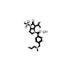 CCCN(C)Cc1ccc(C(=O)N2CCC3C2C(C(C)C)C(=O)N3S(C)(=O)=O)cc1.Cl